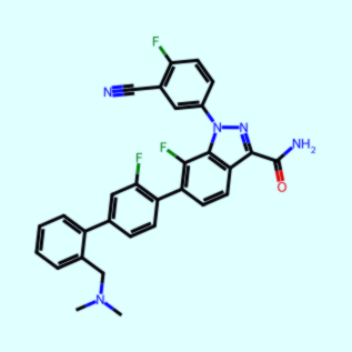 CN(C)Cc1ccccc1-c1ccc(-c2ccc3c(C(N)=O)nn(-c4ccc(F)c(C#N)c4)c3c2F)c(F)c1